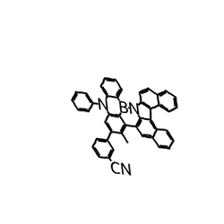 Cc1c(-c2cccc(C#N)c2)cc2c3c1-c1cc4ccccc4c4c5c6ccccc6ccc5n(c14)B3c1ccccc1N2c1ccccc1